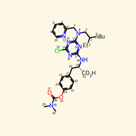 CCCCC(CC)CN(Cc1ccccn1)c1nc(Cl)nc(N[C@@H](Cc2ccc(OC(=O)N(C)C)cc2)C(=O)O)n1